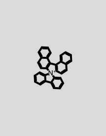 c1ccc2c(c1)-c1ccccc1[N+]21c2ccc3ccccc3c2-c2c1ccc1ccccc21